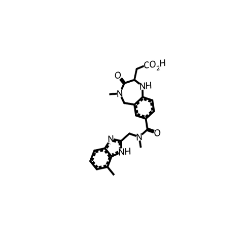 Cc1cccc2nc(CN(C)C(=O)c3ccc4c(c3)CN(C)C(=O)C(CC(=O)O)N4)[nH]c12